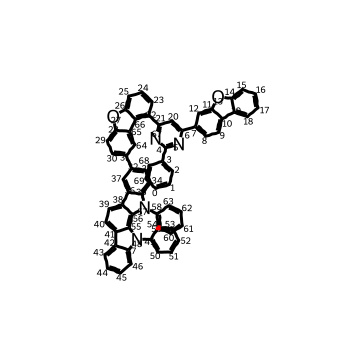 c1ccc(-c2nc(-c3ccc4c(c3)oc3ccccc34)cc(-c3cccc4oc5ccc(-c6ccc7c(c6)c6ccc8c9ccccc9n(-c9ccccc9)c8c6n7-c6ccccc6)cc5c34)n2)cc1